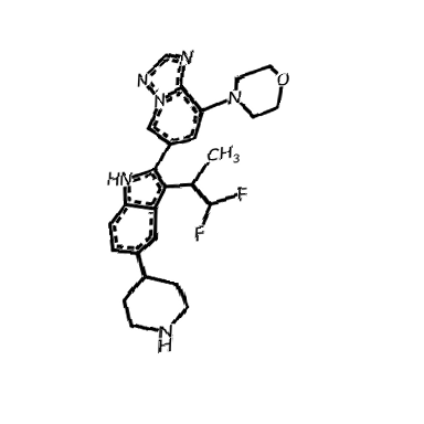 CC(c1c(-c2cc(N3CCOCC3)c3ncnn3c2)[nH]c2ccc(C3CCNCC3)cc12)C(F)F